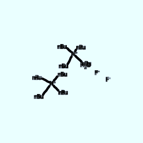 CCCC[N+](CCCC)(CCCC)CCCC.CCCC[N+](CCCC)(CCCC)CCCC.O.[F-].[F-]